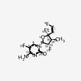 CC[C@@]1(/C=C\F)O[C@@H](n2cc(F)c(N)nc2=O)[C@@H](F)[C@@H]1C